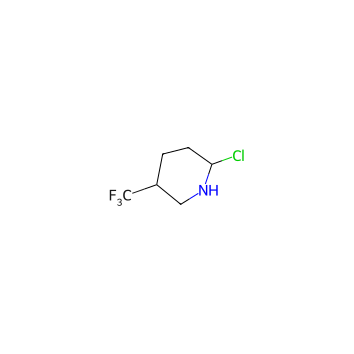 FC(F)(F)C1CCC(Cl)NC1